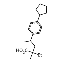 CCC(C)(CC(C)c1ccc(C2CCCC2)cc1)C(=O)O